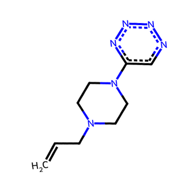 C=CCN1CCN(c2cnnnn2)CC1